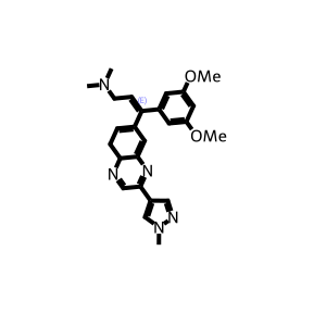 COc1cc(OC)cc(/C(=C/CN(C)C)C2=CCC3N=CC(c4cnn(C)c4)=NC3=C2)c1